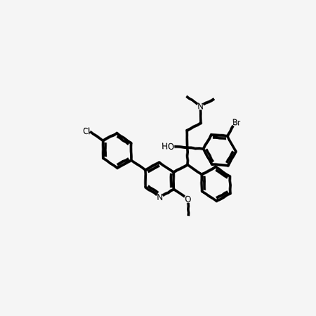 COc1ncc(-c2ccc(Cl)cc2)cc1C(c1ccccc1)C(O)(CCN(C)C)c1cccc(Br)c1